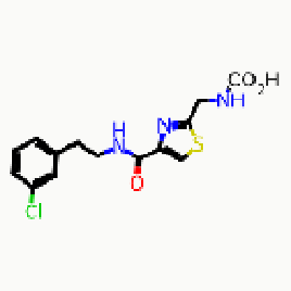 O=C(O)NCc1nc(C(=O)NCCc2cccc(Cl)c2)cs1